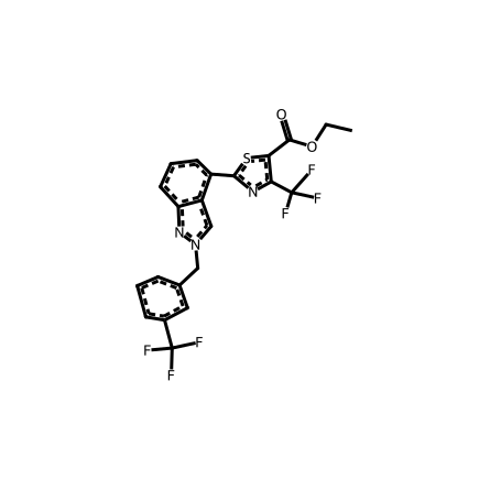 CCOC(=O)c1sc(-c2cccc3nn(Cc4cccc(C(F)(F)F)c4)cc23)nc1C(F)(F)F